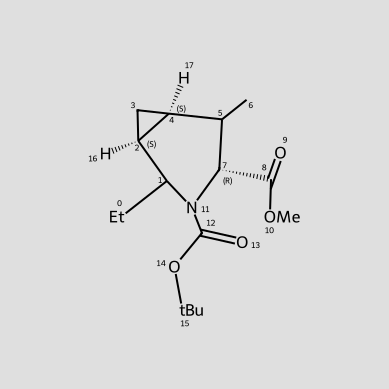 CCC1[C@H]2C[C@H]2C(C)[C@H](C(=O)OC)N1C(=O)OC(C)(C)C